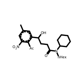 CCCCCCN(C(=O)CCC(O)c1cc(C)cc([N+](=O)[O-])c1C(C)=O)C1CCCCC1